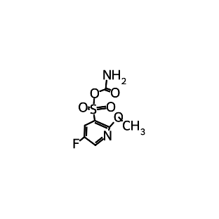 COc1ncc(F)cc1S(=O)(=O)OC(N)=O